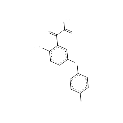 COC(=O)C(=O)c1cc(Oc2ccc(F)cc2)ccc1[N+](=O)[O-]